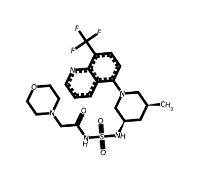 C[C@H]1C[C@@H](NS(=O)(=O)NC(=O)CN2CCOCC2)CN(c2ccc(C(F)(F)F)c3ncccc23)C1